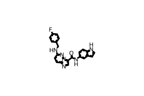 O=C(Nc1ccc2[nH]ccc2c1)c1cnc2ccc(NCc3ccc(F)cc3)nn12